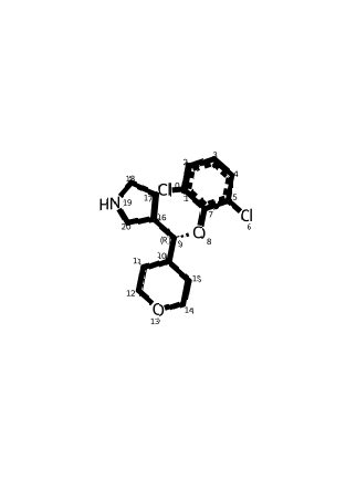 Clc1cccc(Cl)c1O[C@H](C1CCOCC1)C1CCNC1